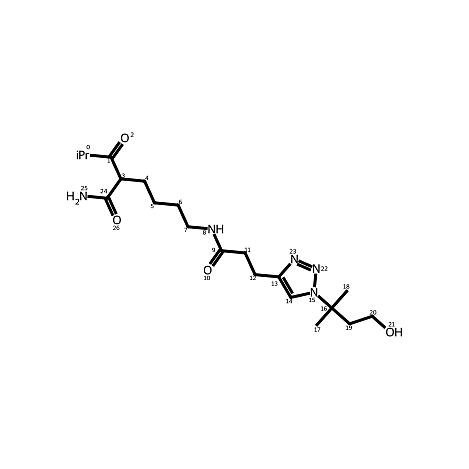 CC(C)C(=O)C(CCCCNC(=O)CCc1cn(C(C)(C)CCO)nn1)C(N)=O